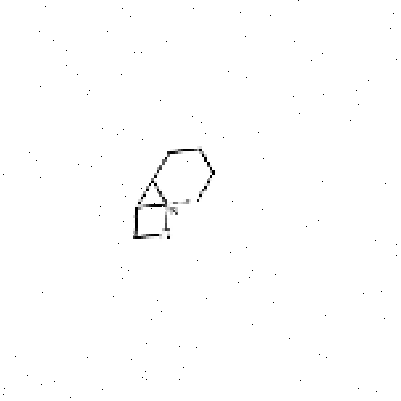 C1CC[C@]23OCC2C3C1